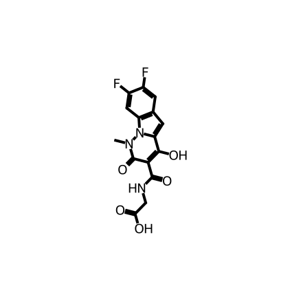 Cn1c(=O)c(C(=O)NCC(=O)O)c(O)c2cc3cc(F)c(F)cc3n21